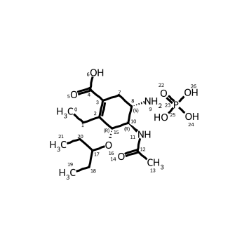 CCC1=C(C(=O)O)C[C@H](N)[C@@H](NC(C)=O)[C@@H]1OC(CC)CC.O=P(O)(O)O